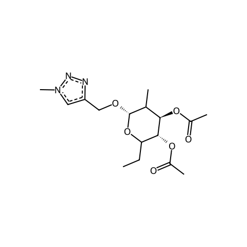 CCC1O[C@H](OCc2cn(C)nn2)C(C)[C@@H](OC(C)=O)[C@@H]1OC(C)=O